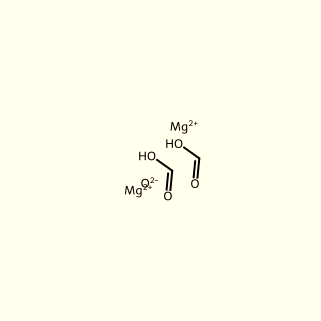 O=CO.O=CO.[Mg+2].[Mg+2].[O-2]